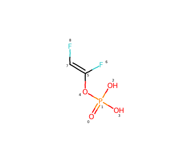 O=P(O)(O)OC(F)=CF